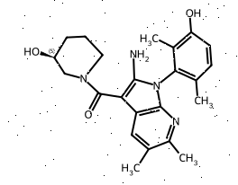 Cc1cc2c(C(=O)N3CCC[C@H](O)C3)c(N)n(-c3c(C)ccc(O)c3C)c2nc1C